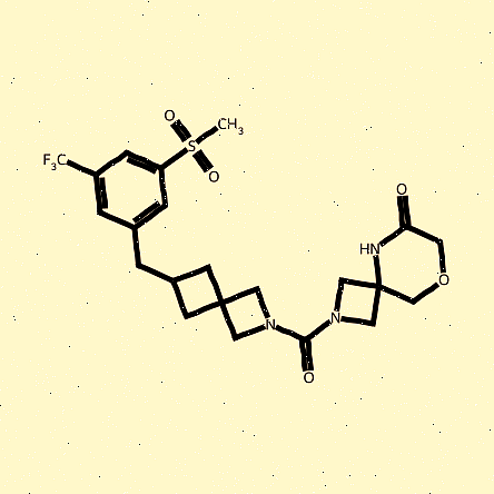 CS(=O)(=O)c1cc(CC2CC3(C2)CN(C(=O)N2CC4(COCC(=O)N4)C2)C3)cc(C(F)(F)F)c1